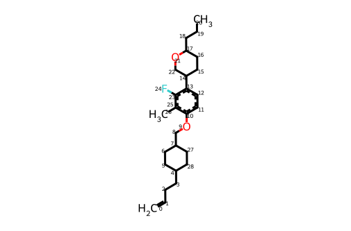 C=CCCC1CCC(COc2ccc(C3CCC(CCC)OC3)c(F)c2C)CC1